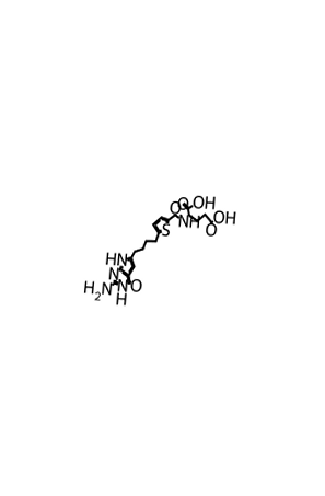 Nc1nc2[nH]c(CCCCc3ccc(C(=O)NC(CCC(=O)O)C(=O)O)s3)cc2c(=O)[nH]1